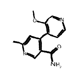 COc1cnccc1-c1cc(C)ncc1C(N)=O